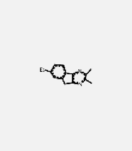 CCc1ccc2c(c1)Cc1nc(C)c(C)nc1-2